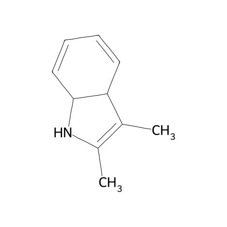 CC1=C(C)C2C=CC=CC2N1